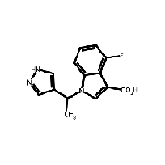 CC(c1cn[nH]c1)n1cc(C(=O)O)c2c(F)cccc21